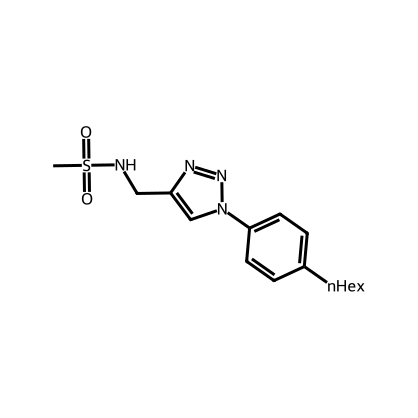 CCCCCCc1ccc(-n2cc(CNS(C)(=O)=O)nn2)cc1